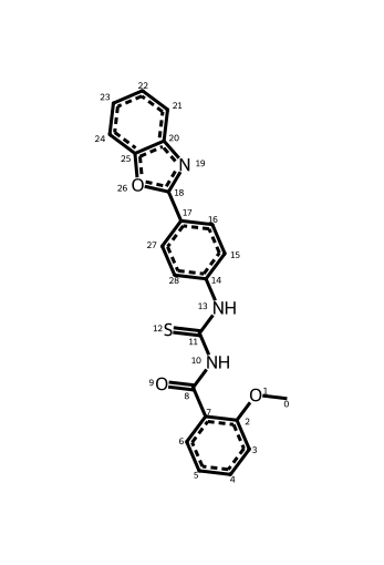 COc1ccccc1C(=O)NC(=S)Nc1ccc(-c2nc3ccccc3o2)cc1